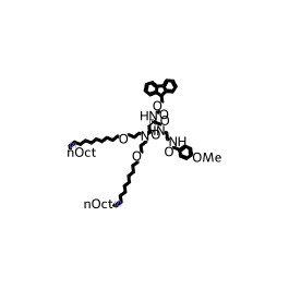 CCCCCCCC/C=C\CCCCCCCCOCCCN(CCCOCCCCCCCC/C=C\CCCCCCCC)C(=O)C[C@@H](NC(=O)OCC1c2ccccc2-c2ccccc21)C(=O)NCCNC(=O)c1ccc(OC)cc1